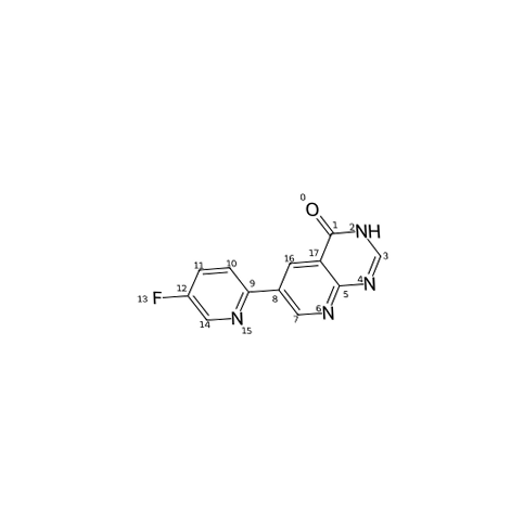 O=c1[nH]cnc2ncc(-c3ccc(F)cn3)cc12